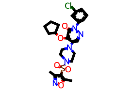 Cc1noc(C)c1S(=O)(=O)N1CCN(c2cnn(-c3cccc(Cl)c3)c(=O)c2OC2CCCC2)CC1